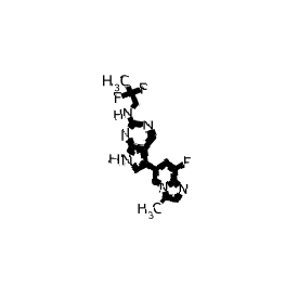 Cc1cnc2c(F)cc(-c3c[nH]c4nc(NCC(C)(F)F)ncc34)cn12